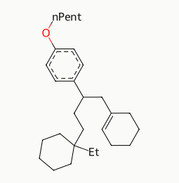 CCCCCOc1ccc(C(CCC2(CC)CCCCC2)CC2=CCCCC2)cc1